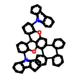 c1ccc2c(c1)-c1ccccc1-c1cc3c4c(c1-c1ccccc1-2)Oc1c(cccc1-n1c2ccccc2c2ccccc21)B4c1cccc(-n2c4ccccc4c4ccccc42)c1O3